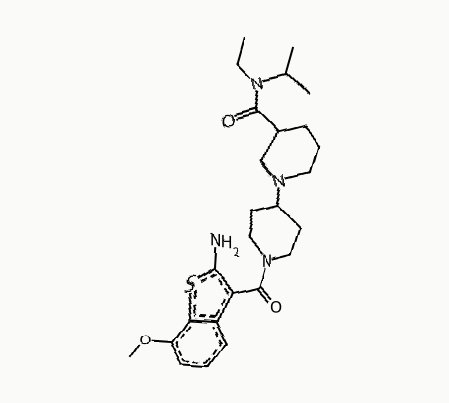 CCN(C(=O)C1CCCN(C2CCN(C(=O)c3c(N)sc4c(OC)cccc34)CC2)C1)C(C)C